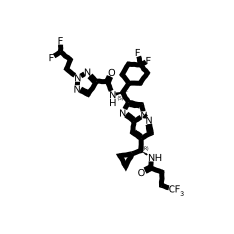 O=C(CCC(F)(F)F)N[C@@H](c1cnn2cc([C@@H](NC(=O)c3cnn(CCC(F)F)n3)C3CCC(F)(F)CC3)nc2c1)C1CC1